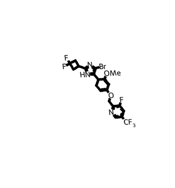 COC1=CC(OCc2ncc(C(F)(F)F)cc2F)=CCC1c1[nH]c(C2CC(F)(F)C2)nc1Br